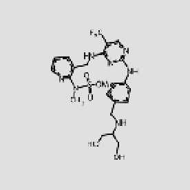 COS(=O)(=O)N(C)c1ncccc1CNc1nc(Nc2ccc(CNC(CO)CO)cc2)ncc1C(F)(F)F